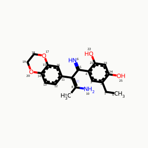 CCc1cc(C(=N)/C(=C(/C)N)c2ccc3c(c2)OCCO3)c(O)cc1O